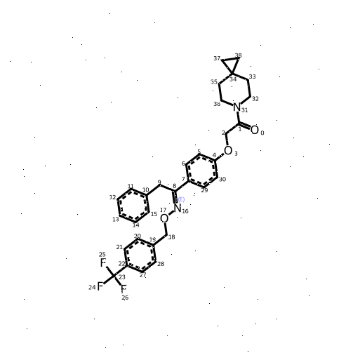 O=C(COc1ccc(/C(Cc2ccccc2)=N/OCc2ccc(C(F)(F)F)cc2)cc1)N1CCC2(CC1)CC2